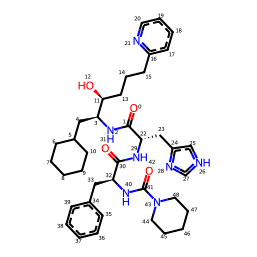 O=C(N[C@@H](CC1CCCCC1)[C@@H](O)CCCc1ccccn1)[C@H](Cc1c[nH]cn1)NC(=O)[C@H](Cc1ccccc1)NC(=O)N1CCCCC1